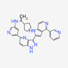 C=C(Nc1cncc(-c2ccc3[nH]nc(-c4cc5c(-c6cccnc6)nccc5[nH]4)c3n2)c1)C1CCCC1